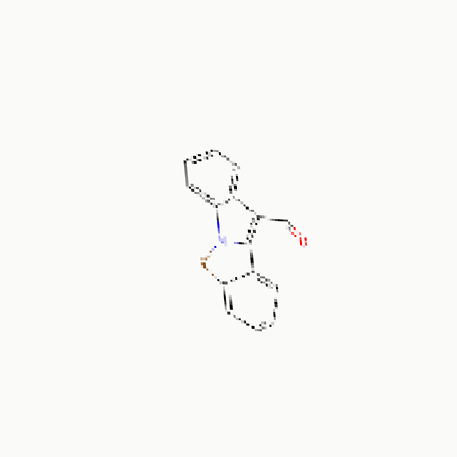 O=Cc1c2ccccc2n2sc3ccccc3c12